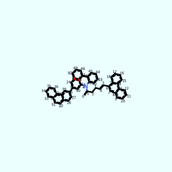 C=C(CC/C=C/c1cc2ccccc2c2ccccc12)N(c1cccc(-c2ccc3ccc4ccccc4c3c2)c1)c1ccccc1-c1ccccc1